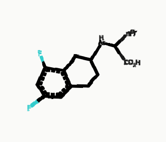 CCCC([AsH]C1CCc2cc(F)cc(F)c2C1)C(=O)O